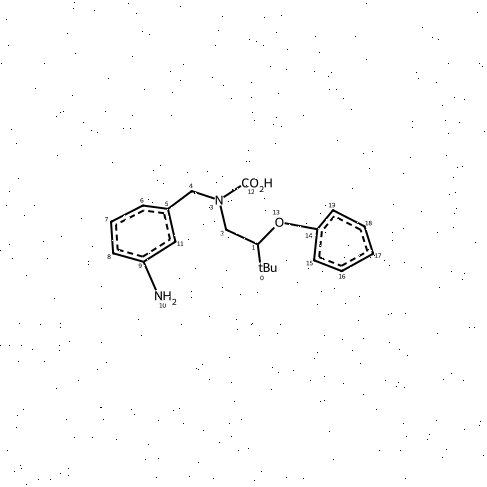 CC(C)(C)C(CN(Cc1cccc(N)c1)C(=O)O)Oc1ccccc1